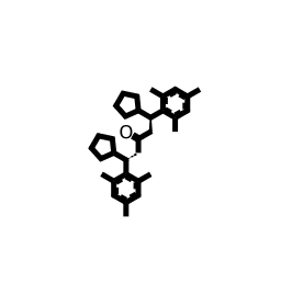 Cc1cc(C)c([C@@H](CC(=O)C[C@H](c2c(C)cc(C)cc2C)C2CCCC2)C2CCCC2)c(C)c1